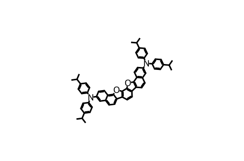 CC(C)c1ccc(N(c2ccc(C(C)C)cc2)c2ccc3c(ccc4c5ccc6c7ccc8cc(N(c9ccc(C(C)C)cc9)c9ccc(C(C)C)cc9)ccc8c7oc6c5oc34)c2)cc1